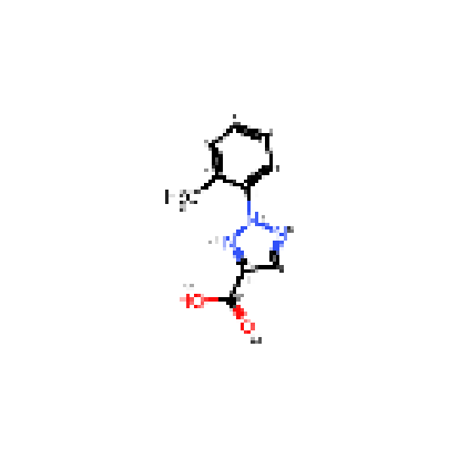 Cc1ccccc1-n1ncc(C(=O)O)n1